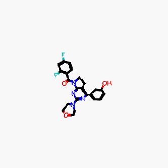 O=C(c1ccc(F)cc1F)N1CCc2c(-c3cccc(O)c3)nc(N3CCOCC3)nc21